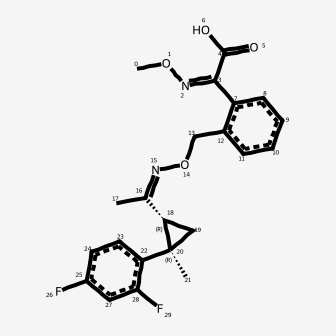 CON=C(C(=O)O)c1ccccc1CON=C(C)[C@@H]1C[C@@]1(C)c1ccc(F)cc1F